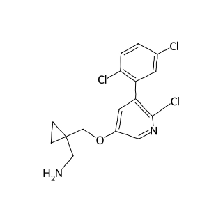 NCC1(COc2cnc(Cl)c(-c3cc(Cl)ccc3Cl)c2)CC1